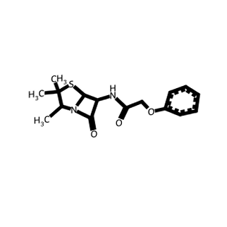 CC1N2C(=O)C(NC(=O)COc3ccccc3)C2SC1(C)C